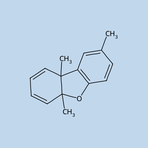 Cc1ccc2c(c1)C1(C)C=CC=CC1(C)O2